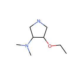 CCOC1C[N]CC1N(C)C